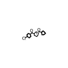 O=C(c1ccc(Cl)cc1)C1CCCN(C(=O)c2ccccc2)C1